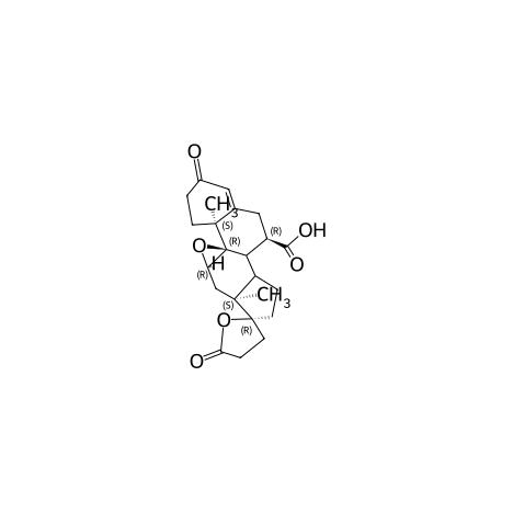 C[C@]12CCC(=O)C=C1C[C@@H](C(=O)O)C1C3CC[C@@]4(CCC(=O)O4)[C@@]3(C)C[C@H]3O[C@@]132